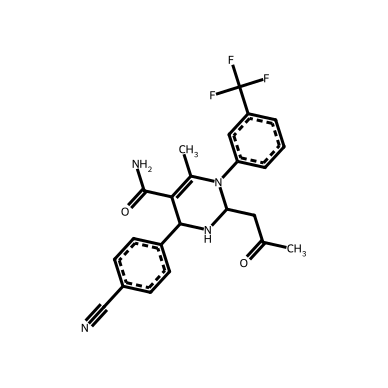 CC(=O)CC1NC(c2ccc(C#N)cc2)C(C(N)=O)=C(C)N1c1cccc(C(F)(F)F)c1